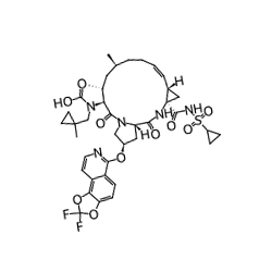 C[C@H]1CCC=C[C@@H]2C[C@@]2(C(=O)NS(=O)(=O)C2CC2)NC(=O)[C@@H]2C[C@@H](Oc3nccc4c5c(ccc34)OC(F)(F)O5)CN2C(=O)[C@@H](N(CC2(C)CC2)C(=O)O)[C@H](C)C1